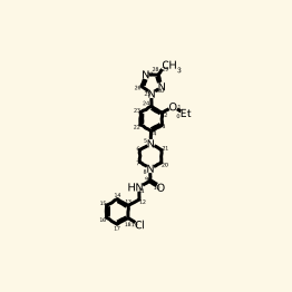 CCOc1cc(N2CCN(C(=O)NCc3ccccc3Cl)CC2)ccc1-n1cnc(C)n1